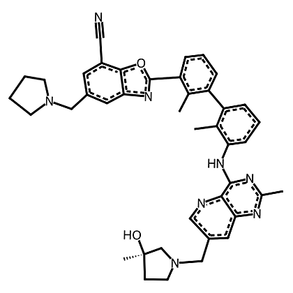 Cc1nc(Nc2cccc(-c3cccc(-c4nc5cc(CN6CCCC6)cc(C#N)c5o4)c3C)c2C)c2ncc(CN3CC[C@@](C)(O)C3)cc2n1